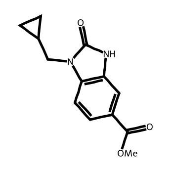 COC(=O)c1ccc2c(c1)[nH]c(=O)n2CC1CC1